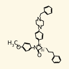 COc1ccc(N2C(=O)[C@@H](CCCc3ccccc3)[C@@H]2c2ccc(N3CCN(Cc4ccccc4)CC3)cc2)cc1